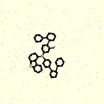 Fc1cc(N(c2ccc(-c3ccccc3-c3ccccc3)cc2)c2cccc3oc4ccccc4c23)ccc1-c1ccccc1-c1ccccc1